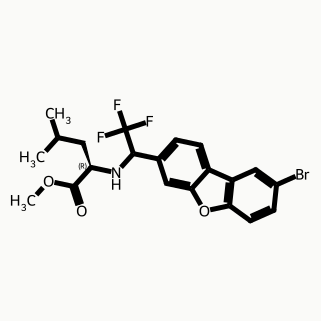 COC(=O)[C@@H](CC(C)C)NC(c1ccc2c(c1)oc1ccc(Br)cc12)C(F)(F)F